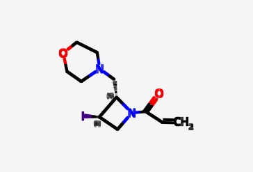 C=CC(=O)N1C[C@@H](I)[C@@H]1CN1CCOCC1